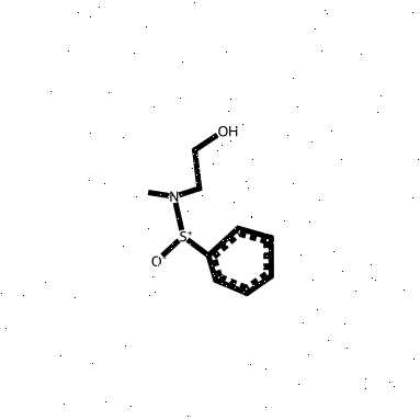 CN(CCO)[S+]([O-])c1ccccc1